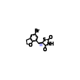 O=C1NC(=O)/C(=C/c2cc(Br)cc3c2OCC3)S1